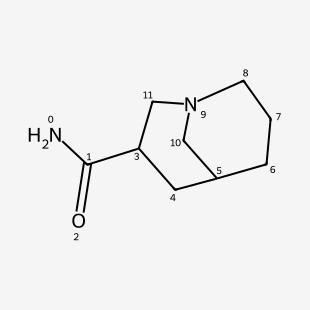 NC(=O)C1CC2CCCN(C2)C1